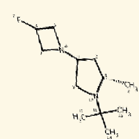 C[C@H]1CC(N2CC(F)C2)CN1C(C)(C)C